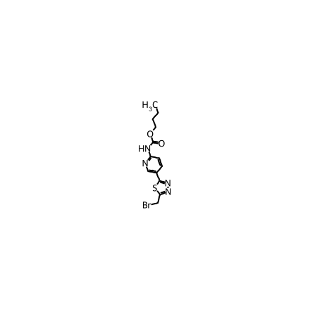 CCCCOC(=O)Nc1ccc(-c2nnc(CBr)s2)cn1